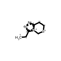 CCc1nnc2n1CSCC2